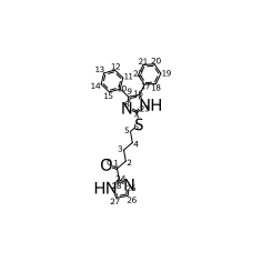 O=C(CCCCSc1nc(-c2ccccc2)c(-c2ccccc2)[nH]1)c1ncc[nH]1